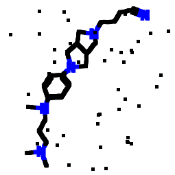 CN(C)CCCN(C)c1ccc(N2CC3CN(CCCC#N)CC3C2)cc1